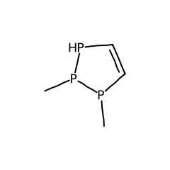 CP1C=CPP1C